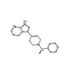 C[C@H](c1ccccc1)N1CC=C(c2c[nH]c3ncccc23)CC1